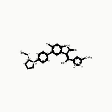 COc1cc(C(O)=C2C(=O)Nc3cc(Cl)c(-c4ccc(N5CCC[C@@H]5CO)cc4)cc32)on1